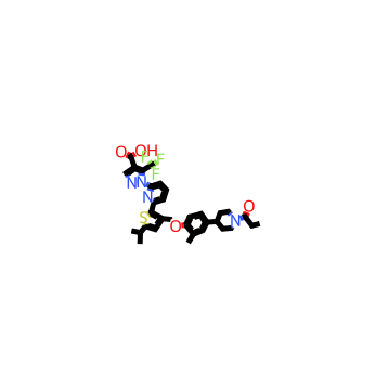 CCC(=O)N1CCC(c2ccc(OCc3cc(C(C)C)sc3-c3cccc(-n4ncc(C(=O)O)c4C(F)(F)F)n3)c(C)c2)CC1